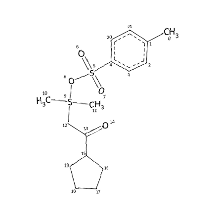 Cc1ccc(S(=O)(=O)OS(C)(C)CC(=O)C2CCCC2)cc1